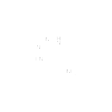 NCc1cccc(Nc2cc(NC3CC3)ncn2)c1